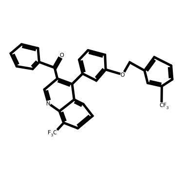 O=C(c1ccccc1)c1cnc2c(C(F)(F)F)cccc2c1-c1cccc(OCc2cccc(C(F)(F)F)c2)c1